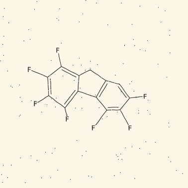 Fc1cc2c(c(F)c1F)-c1c(F)c(F)c(F)c(F)c1[CH]2